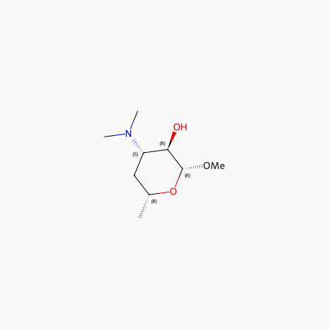 CO[C@@H]1O[C@H](C)C[C@H](N(C)C)[C@H]1O